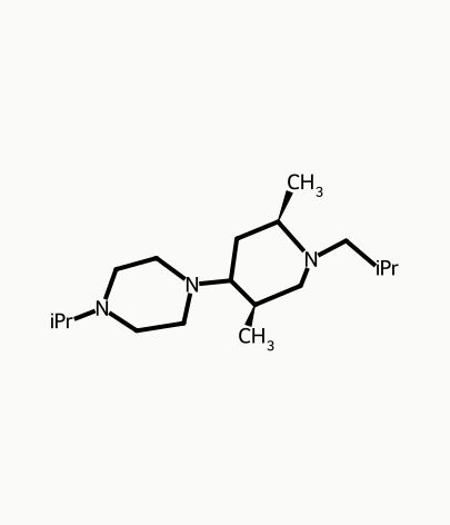 CC(C)CN1C[C@@H](C)C(N2CCN(C(C)C)CC2)C[C@H]1C